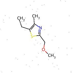 [CH2]Cc1sc(COC)nc1C